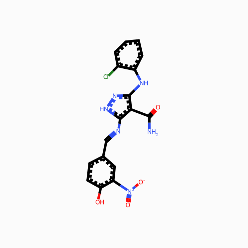 NC(=O)c1c(Nc2ccccc2Cl)n[nH]c1/N=C/c1ccc(O)c([N+](=O)[O-])c1